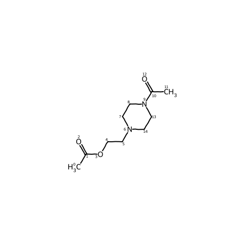 CC(=O)OCCN1CCN(C(C)=O)CC1